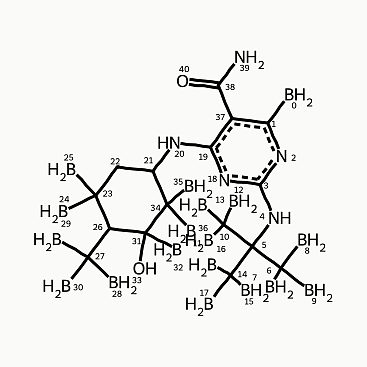 Bc1nc(NC(C(B)(B)B)(C(B)(B)B)C(B)(B)B)nc(NC2CC(B)(B)C(C(B)(B)B)C(B)(O)C2(B)B)c1C(N)=O